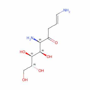 NC=CCC(=O)[C@H](N)[C@@H](O)[C@H](O)[C@H](O)CO